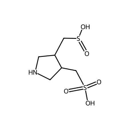 O=S(O)CC1CNCC1CS(=O)(=O)O